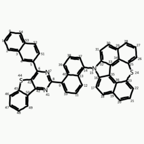 c1ccc2cc(-c3nc(-c4cccc5c(-n6c7ccc8cccc9sc%10cccc%11ccc6c(c%11%10)c7c89)cccc45)nc4c3sc3ccccc34)ccc2c1